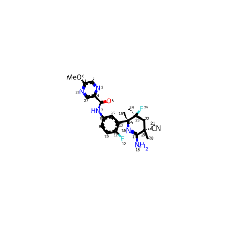 COc1cnc(C(=O)Nc2ccc(F)c([C@@]3(C)N=C(N)[C@@](C)(C#N)C[C@]3(C)F)c2)cn1